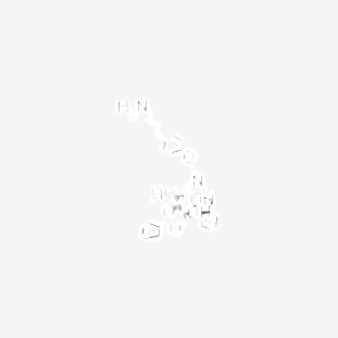 NCCCCc1ccc(OCCN(CCCc2ccccc2)C[C@H](O)[C@@H](O)[C@@H]2OC(c3ccccc3)OC[C@H]2O)cc1